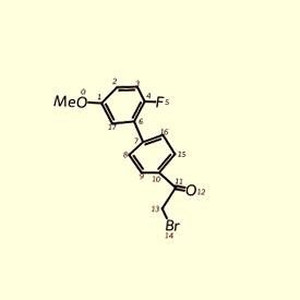 COc1ccc(F)c(-c2ccc(C(=O)CBr)cc2)c1